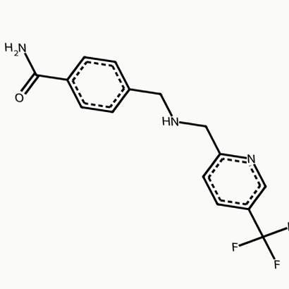 NC(=O)c1ccc(CNCc2ccc(C(F)(F)F)cn2)cc1